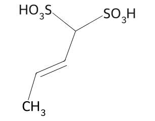 CC=CC(S(=O)(=O)O)S(=O)(=O)O